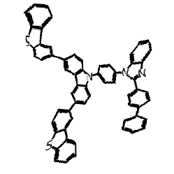 c1ccc(-c2ccc(-c3nc4ccccc4n3-c3ccc(-n4c5ccc(-c6ccc7sc8ccccc8c7c6)cc5c5cc(-c6ccc7sc8ccccc8c7c6)ccc54)cc3)cc2)cc1